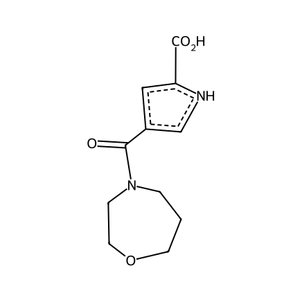 O=C(O)c1cc(C(=O)N2CCCOCC2)c[nH]1